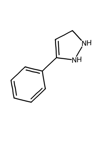 C1=C(c2ccccc2)NNC1